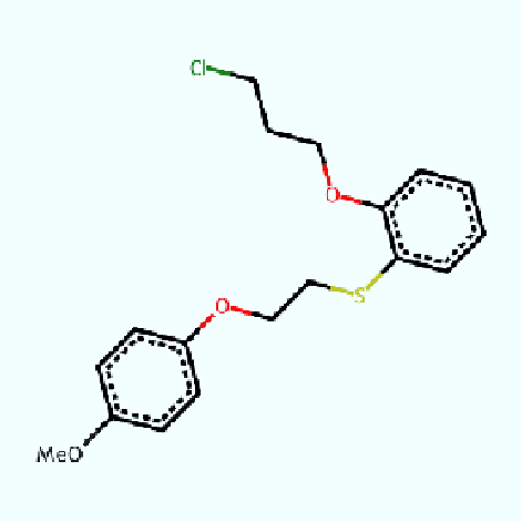 COc1ccc(OCCSc2ccccc2OCCCCl)cc1